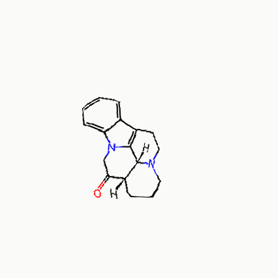 O=C1Cn2c3c(c4ccccc42)CCN2CCC[C@H]1[C@H]32